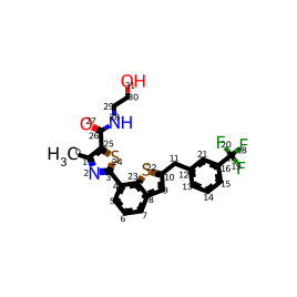 Cc1nc(-c2cccc3cc(Cc4cccc(C(F)(F)F)c4)sc23)sc1C(=O)NCCO